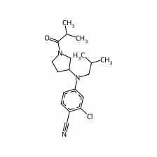 CC(C)CN(c1ccc(C#N)c(Cl)c1)C1CCN(C(=O)C(C)C)C1